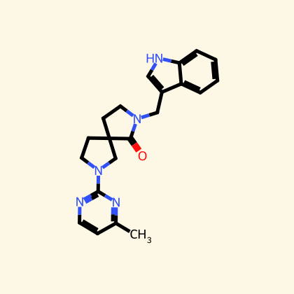 Cc1ccnc(N2CCC3(CCN(Cc4c[nH]c5ccccc45)C3=O)C2)n1